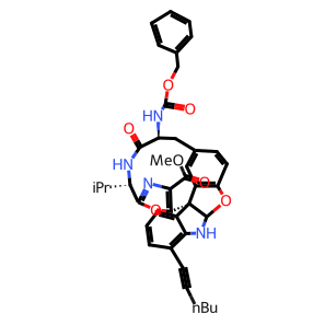 CCCCC#Cc1cccc2c1NC1Oc3ccc4cc3[C@]21c1oc(nc1C(=O)OC)[C@H](C(C)C)NC(=O)[C@@H](NC(=O)OCc1ccccc1)C4